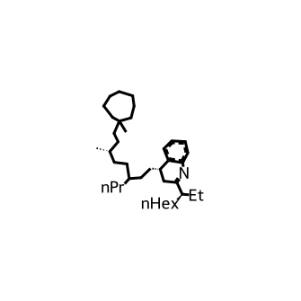 CCCCCC[C@H](CC)C1=Nc2ccccc2[C@@H](CCC(CCC)CC[C@H](C)CCC2(C)CCCCCCC2)C1